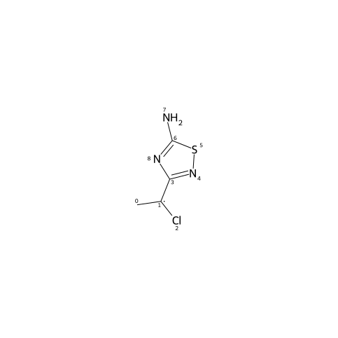 C[C](Cl)c1nsc(N)n1